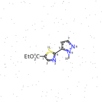 CCOC(=O)c1cnc(-c2ccnn2C)s1